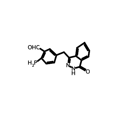 O=Cc1cc(Cc2n[nH]c(=O)c3ccccc23)ccc1P